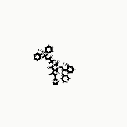 Cc1c(-c2ncco2)sc2c1c(=O)n(C(C)(C)C(=O)CC(C)(C)[Si](O)(c1ccccc1)c1ccccc1)c(=O)n2CC(OC1CCOCC1)c1ccccc1C(F)(F)F